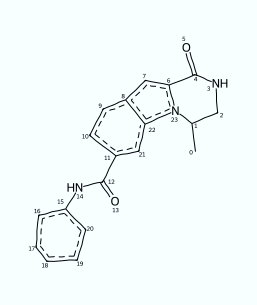 CC1CNC(=O)c2cc3ccc(C(=O)Nc4ccccc4)cc3n21